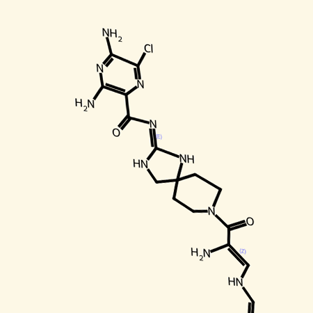 C=CN/C=C(\N)C(=O)N1CCC2(CC1)CN/C(=N\C(=O)c1nc(Cl)c(N)nc1N)N2